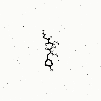 C[C@H](NC(=O)[C@@H](N)Cc1ccc(O)cc1)C(=O)C(=O)C=[N+]=[N-]